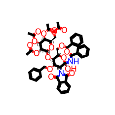 CC(=O)OC[C@H]1O[C@@H](O[C@H]2[C@H](OCc3ccccc3)[C@@H](N3C(=O)c4ccccc4C3=O)[C@@](O)(NC(=O)c3ccccc3)O[C@@H]2COCc2ccccc2)[C@H](OC(C)=O)[C@@H](OC(C)=O)[C@H]1OC(C)=O